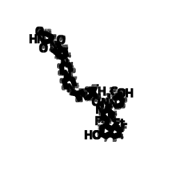 CCc1c(F)ccc2cc(O)cc(-c3ncc4c(N5CCC[C@@](C)(O)C5)nc(OCC5(CN6CC(CN7CCC(N8CCN(c9ccc%10c(c9)CN([C@H]9CCC(=O)NC9=O)C%10=O)CC8)CC7)C6)CC5)nc4c3F)c12